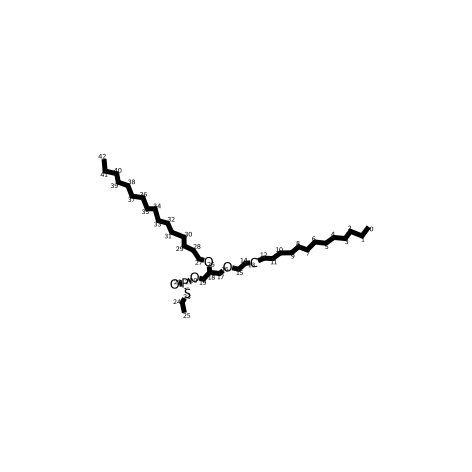 CCCCCCCCCCCCCCCCOCC(CO[P](=O)SCC)OCCCCCCCCCCCCCCCC